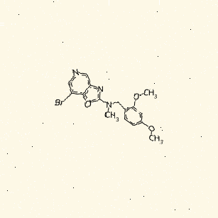 COc1ccc(CN(C)c2nc3cncc(Br)c3o2)c(OC)c1